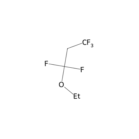 CCOC(F)(F)CC(F)(F)F